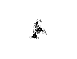 CCCC(=O)NC(=O)N1C(=O)C(NC(=O)c2cc(Cl)cc(Cl)c2)c2cc(C(C)=O)ccc21